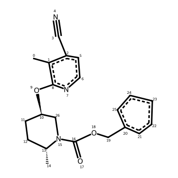 Cc1c(C#N)ccnc1O[C@@H]1CC[C@@H](C)N(C(=O)OCc2ccccc2)C1